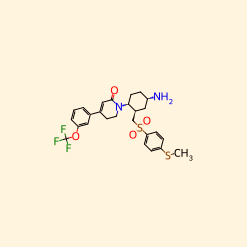 CSc1ccc(S(=O)(=O)C[C@@H]2C[C@H](N)CC[C@@H]2N2CCC(c3cccc(OC(F)(F)F)c3)=CC2=O)cc1